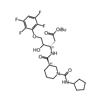 CC(C)COC(=O)C[C@H](NC(=O)[C@@H]1CCCN(C(=O)NC2CCCC2)C1)C(O)COc1c(F)c(F)cc(F)c1F